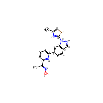 CC(=NO)c1cccc(-c2ccc3cnn(-c4nc(C)cs4)c3c2)n1